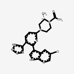 CC(=O)N1CCN(c2ccc(-c3nnn[nH]3)c(-c3c[nH]c4ncc(Cl)cc34)n2)C[C@@H]1C